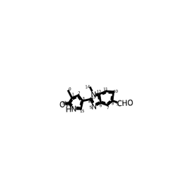 Cc1cc(-c2nc3cc(C=O)ccc3n2C)c[nH]c1=O